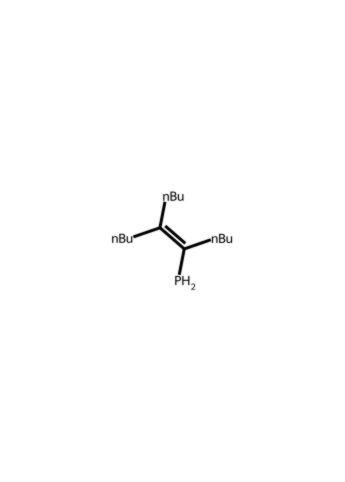 CCCCC(P)=C(CCCC)CCCC